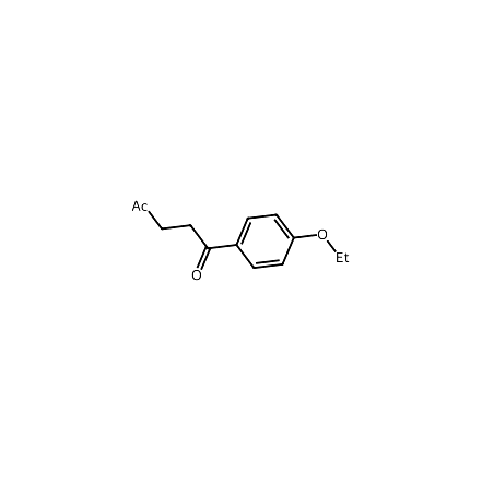 CCOc1ccc(C(=O)CCC(C)=O)cc1